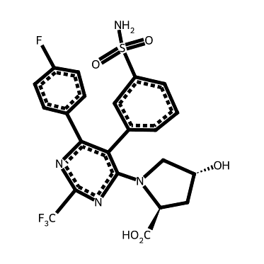 NS(=O)(=O)c1cccc(-c2c(-c3ccc(F)cc3)nc(C(F)(F)F)nc2N2C[C@H](O)C[C@H]2C(=O)O)c1